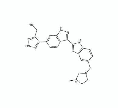 OCc1n[nH]nc1-c1ccc2c(-c3cc4cc(CN5CC[C@@H](F)C5)ccc4[nH]3)n[nH]c2c1